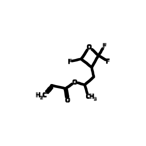 C=CC(=O)OC(C)CC1C(F)OC1(F)F